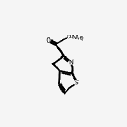 COC(=O)C1=Nc2sccc2C1